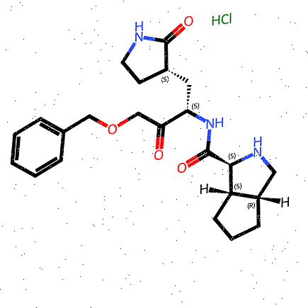 Cl.O=C1NCC[C@H]1C[C@H](NC(=O)[C@H]1NC[C@@H]2CCC[C@@H]21)C(=O)COCc1ccccc1